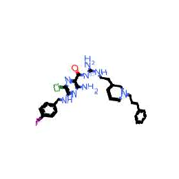 N/C(=N\C(=O)c1nc(Cl)c(NCc2ccc(I)cc2)nc1N)NCCC1CCCN(CCCc2ccccc2)C1